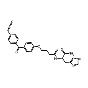 NC(=O)C(Cc1c[nH]cn1)NC(=O)CCCOc1ccc(C(=O)c2ccc(N=C=O)cc2)cc1